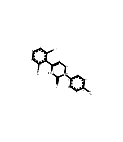 O=C1NC(c2c(F)cccc2F)=CCN1c1ccc(Cl)cc1